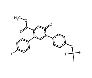 COC(=O)c1cc(=O)n(-c2ccc(OC(F)(F)F)cc2)cc1-c1ccc(F)cc1